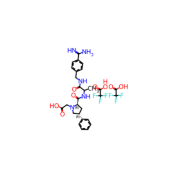 CC(NC(=O)[C@H]1C[C@H](c2ccccc2)CN1CC(=O)O)C(=O)NCc1ccc(C(=N)N)cc1.O=C(O)C(F)(F)F.O=C(O)C(F)(F)F